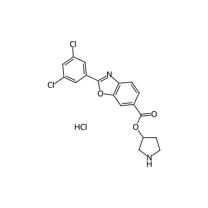 Cl.O=C(OC1CCNC1)c1ccc2nc(-c3cc(Cl)cc(Cl)c3)oc2c1